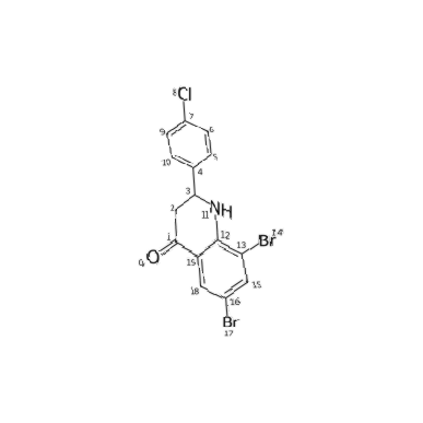 O=C1CC(c2ccc(Cl)cc2)Nc2c(Br)cc(Br)cc21